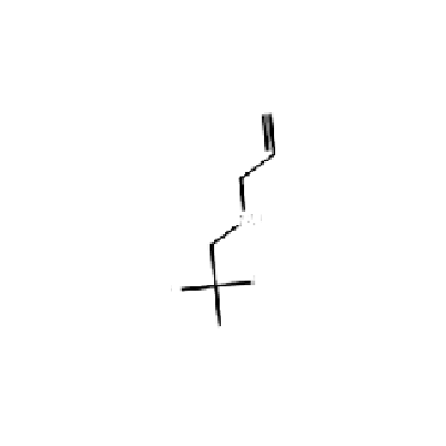 C=CCNCC(C)(F)F